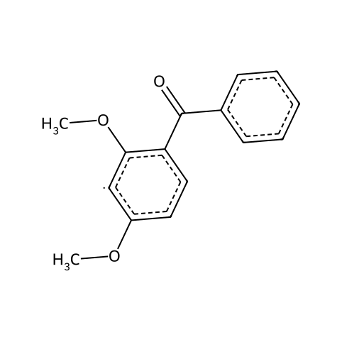 COc1[c]c(OC)c(C(=O)c2ccccc2)cc1